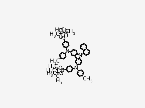 Cc1ccc(N(c2ccc(B3OC(C)(C)C(C)(C)O3)cc2)c2ccc3c(c2)c2cc(N(c4ccc(C)cc4)c4ccc(B5OC(C)(C)C(C)(C)O5)cc4)ccc2n3-c2cccc3ccccc23)cc1